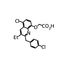 CCc1cc2c(Cl)ccc(OCC(=O)O)c2nc1Cc1ccc(Cl)cc1